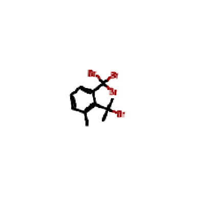 Cc1cccc(C(Br)(Br)Br)c1C(C)(C)Br